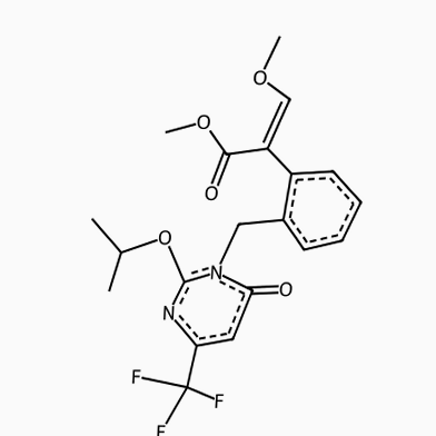 COC=C(C(=O)OC)c1ccccc1Cn1c(OC(C)C)nc(C(F)(F)F)cc1=O